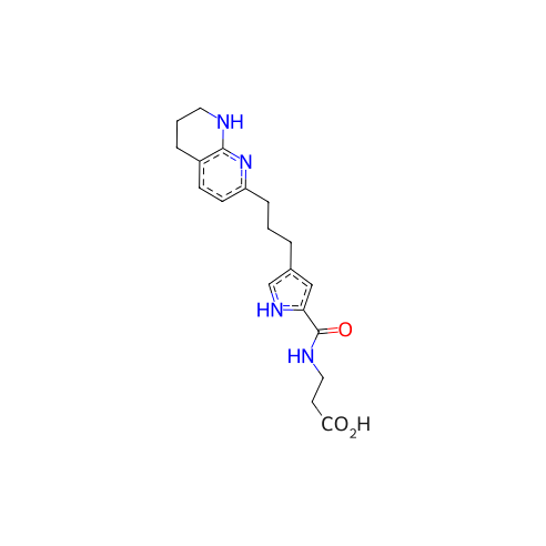 O=C(O)CCNC(=O)c1cc(CCCc2ccc3c(n2)NCCC3)c[nH]1